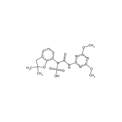 COc1nc(NC(=O)N(c2cccc3c2OC(C)(C)C3)S(=O)(=O)O)nc(OC)n1